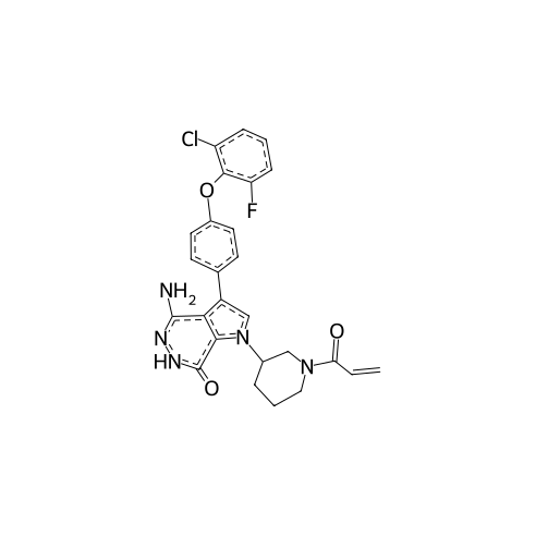 C=CC(=O)N1CCCC(n2cc(-c3ccc(Oc4c(F)cccc4Cl)cc3)c3c(N)n[nH]c(=O)c32)C1